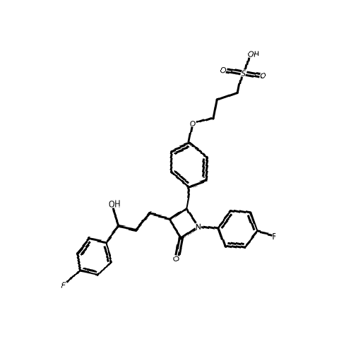 O=C1C(CCC(O)c2ccc(F)cc2)C(c2ccc(OCCCS(=O)(=O)O)cc2)N1c1ccc(F)cc1